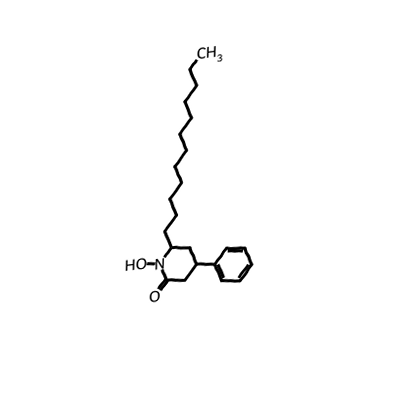 CCCCCCCCCCCCC1CC(c2ccccc2)CC(=O)N1O